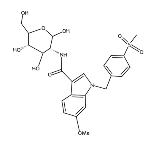 COc1ccc2c(C(=O)N[C@H]3C(O)OC(CO)[C@@H](O)C3O)cn(Cc3ccc(S(C)(=O)=O)cc3)c2c1